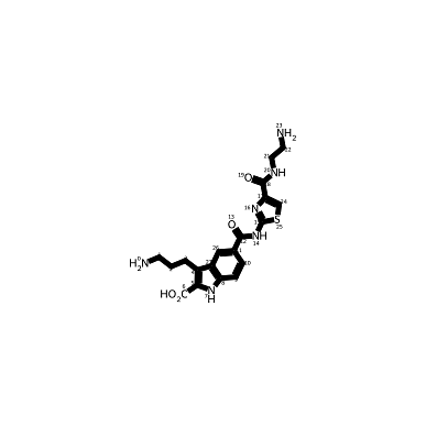 NCCCc1c(C(=O)O)[nH]c2ccc(C(=O)Nc3nc(C(=O)NCCN)cs3)cc12